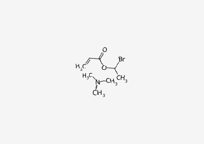 C=CC(=O)OC(C)Br.CN(C)C